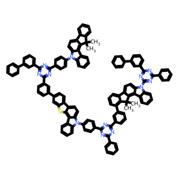 CC1(C)c2ccccc2-c2ccc3c(c21)c1ccccc1n3-c1ccc(-c2nc(-c3cccc(-c4ccccc4)c3)nc(-c3cccc(-c4ccc5c(c4)sc4c5ccc5c4c4ccccc4n5-c4ccc(-c5nc(-c6ccccc6)nc(-c6cccc(-c7cccc8c7C(C)(C)c7c-8ccc8c7c7ccccc7n8-c7nc(-c8ccccc8)nc(-c8cccc(-c9ccccc9)c8)n7)c6)n5)cc4)c3)n2)cc1